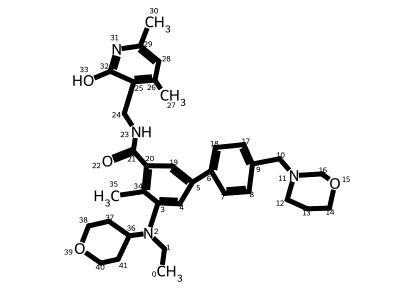 CCN(c1cc(-c2ccc(CN3CCCOC3)cc2)cc(C(=O)NCc2c(C)cc(C)nc2O)c1C)C1CCOCC1